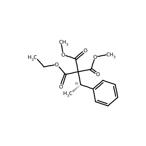 CCOC(=O)C(C(=O)OC)(C(=O)OC)[C@@H](C)c1ccccc1